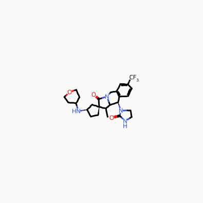 CC1C2[C@H](N3CCNC3=O)c3ccc(C(F)(F)F)cc3CN2C(=O)[C@]12CC[C@@H](NC1CCOCC1)C2